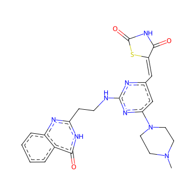 CN1CCN(c2cc(/C=C3\SC(=O)NC3=O)nc(NCCc3nc4ccccc4c(=O)[nH]3)n2)CC1